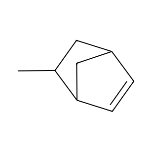 CC1CC2C=CC1C2